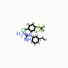 CCc1cccc(N(C(=N)N)c2cc(SC(F)(F)F)ccc2Cl)c1